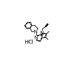 C#CCn1c(C)c(C)c2ccnc(N3CCc4ccccc4C3)c21.Cl